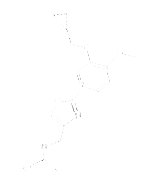 COc1ccc(-c2nc(CNC(=O)O)co2)cc1OCC1CC1